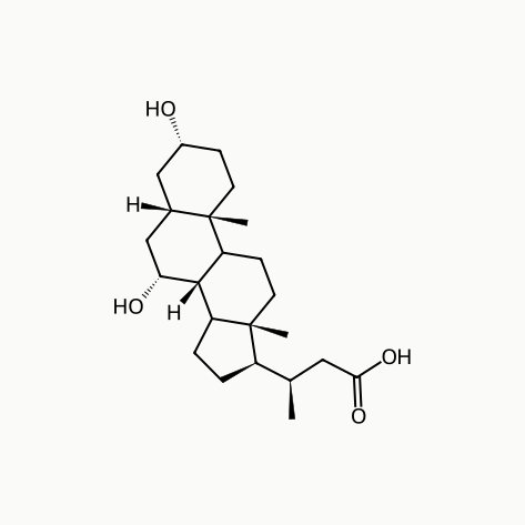 C[C@H](CC(=O)O)[C@H]1CCC2[C@H]3C(CC[C@@]21C)[C@@]1(C)CC[C@@H](O)C[C@H]1C[C@H]3O